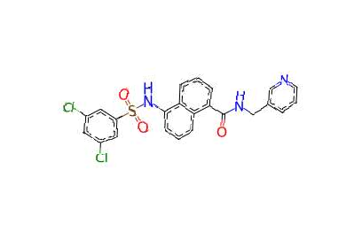 O=C(NCc1cccnc1)c1cccc2c(NS(=O)(=O)c3cc(Cl)cc(Cl)c3)cccc12